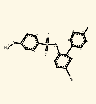 COc1ccc(S(=O)(=O)Nc2ccc(Cl)cc2-c2ccc(F)cc2)cc1